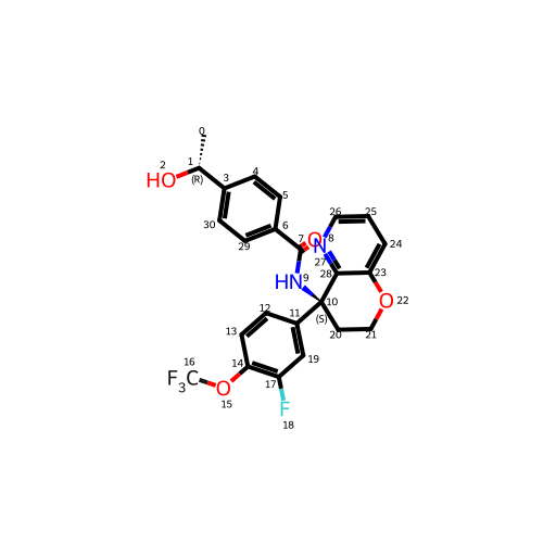 C[C@@H](O)c1ccc(C(=O)N[C@]2(c3ccc(OC(F)(F)F)c(F)c3)CCOc3cccnc32)cc1